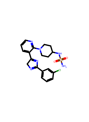 NS(=O)(=O)NC1CCN(c2ncccc2C2=NC(c3cccc(Cl)c3)=NC2)CC1